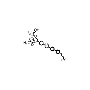 C=C(C)C(=O)OCC(CCOC(=O)C(=C)CO)C1CCC(C2CCC(c3ccc(-c4ccc(CCC=C(F)F)cc4)cc3)CO2)CC1